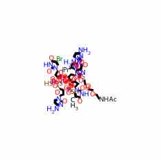 CC(=O)NCCOCCOCCOP(=S)(OC[C@H]1O[C@@H](n2ccc(N)nc2=O)CC1C(C)C)OC1C[C@H](N2C=C(C)C(=O)NC2O)O[C@@H]1COP(=O)(S)OC1C[C@H](n2cnc3c(=O)[nH]c(N)nc32)O[C@@H]1COP(=O)(S)OC1C[C@H](n2ccc(N)nc2=O)O[C@@H]1COP(=O)(S)OC1C[C@H](n2cc(Br)c(=O)[nH]c2=O)O[C@@H]1CO